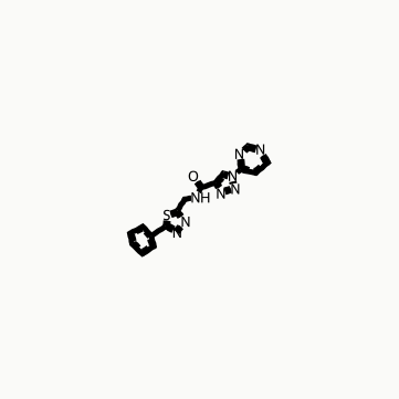 O=C(NCc1nnc(-c2ccccc2)s1)c1cn(-c2ccncn2)nn1